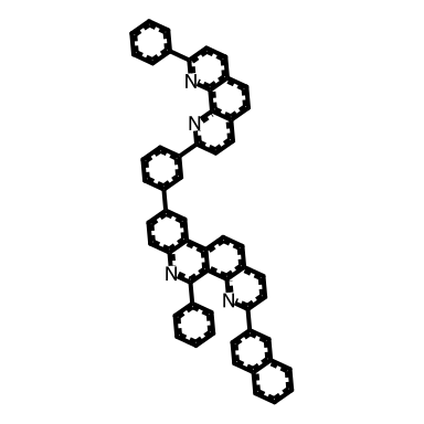 c1ccc(-c2ccc3ccc4ccc(-c5cccc(-c6ccc7nc(-c8ccccc8)c8c(ccc9ccc(-c%10ccc%11ccccc%11c%10)nc98)c7c6)c5)nc4c3n2)cc1